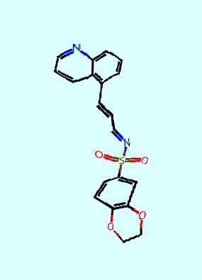 O=S(=O)(N=CC=Cc1cccc2ncccc12)c1ccc2c(c1)OCCO2